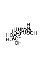 C[C@H](NC(=O)[C@H](C)NC(=O)[C@H](N)CC(F)(F)[C@@H]1O[C@H](CO)[C@H](O)[C@H](O)[C@H]1O)C(=O)O